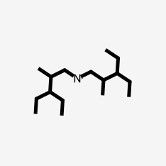 CCC(CC)C(C)C[N]CC(C)C(CC)CC